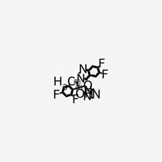 C[C@@H](n1cnc2cc(F)c(F)cc2c1=O)[C@](O)(Cn1cncn1)c1ccc(F)cc1F